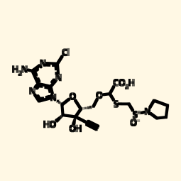 C#C[C@@]1(O)[C@@H](COC(SC[S+]([O-])N2CCCC2)C(=O)O)O[C@@H](n2cnc3c(N)nc(Cl)nc32)[C@@H]1O